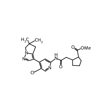 COC(=O)C1CCCC1CC(=O)Nc1cc(-c2cnn3c2CC(C)(C)C3)c(Cl)cn1